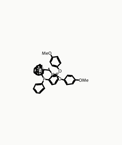 COc1ccc(OP(Oc2ccc(OC)cc2)N(C)[C@H](C)[C@@]23[CH]4[CH]5[CH]6[C]2(P(c2ccccc2)c2ccccc2)[Fe]56432789[CH]3[CH]2[CH]7[CH]8[CH]39)cc1